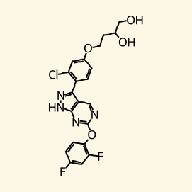 OCC(O)CCOc1ccc(-c2n[nH]c3nc(Oc4ccc(F)cc4F)ncc23)c(Cl)c1